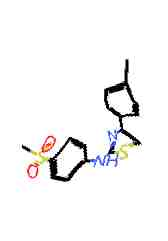 Cc1ccc(-c2csc(Nc3ccc(S(C)(=O)=O)cc3)n2)cc1